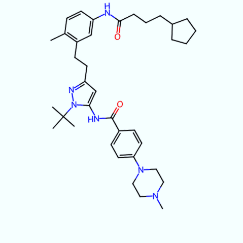 Cc1ccc(NC(=O)CCCC2CCCC2)cc1CCc1cc(NC(=O)c2ccc(N3CCN(C)CC3)cc2)n(C(C)(C)C)n1